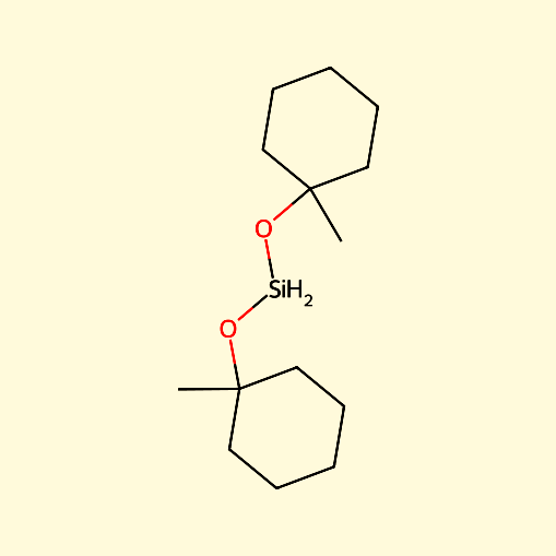 CC1(O[SiH2]OC2(C)CCCCC2)CCCCC1